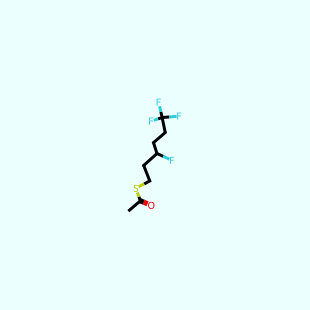 CC(=O)SCCC(F)CCC(F)(F)F